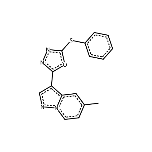 Cc1ccn2ncc(-c3nnc(Sc4ccccc4)o3)c2c1